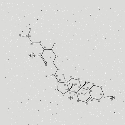 CC(CCC[C@@H](C)[C@H]1CC[C@H]2[C@@H]3CC=C4C[C@@H](O)CC[C@]4(C)[C@H]3CC[C@]12C)C(CCN(C)C)C(N)=O